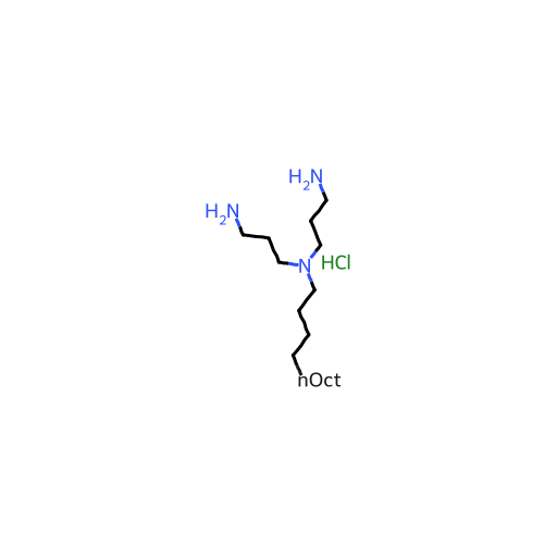 CCCCCCCCCCCCN(CCCN)CCCN.Cl